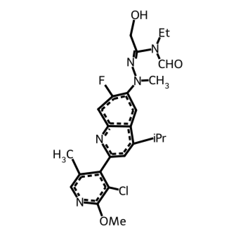 CCN(C=O)/C(CO)=N\N(C)c1cc2c(C(C)C)cc(-c3c(C)cnc(OC)c3Cl)nc2cc1F